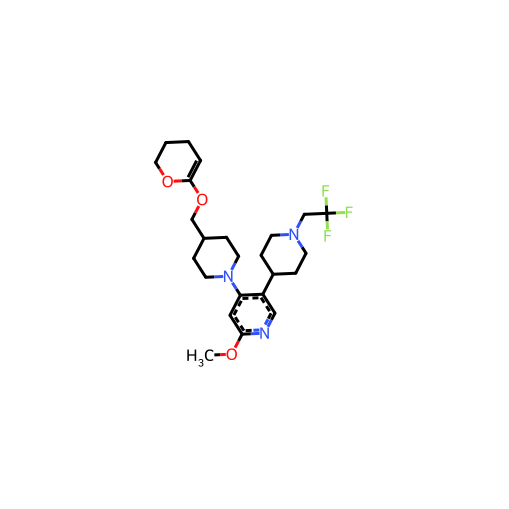 COc1cc(N2CCC(COC3=CCCCO3)CC2)c(C2CCN(CC(F)(F)F)CC2)cn1